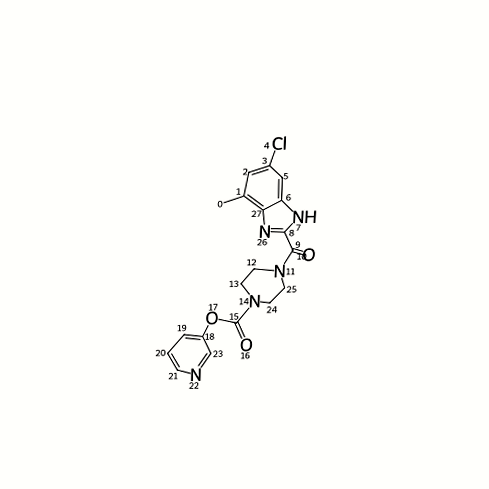 Cc1cc(Cl)cc2[nH]c(C(=O)N3CCN(C(=O)Oc4cccnc4)CC3)nc12